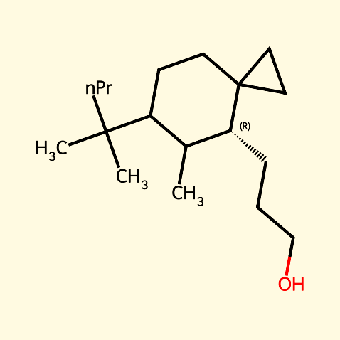 CCCC(C)(C)C1CCC2(CC2)[C@H](CCCO)C1C